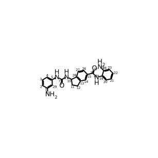 Nc1cccc(NC(=O)NC2CCc3cc(C(=O)Nc4ccccc4N)ccc32)c1